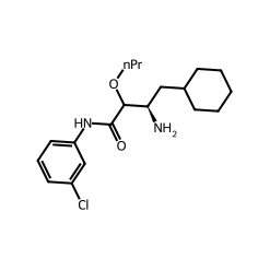 CCCOC(C(=O)Nc1cccc(Cl)c1)[C@H](N)CC1CCCCC1